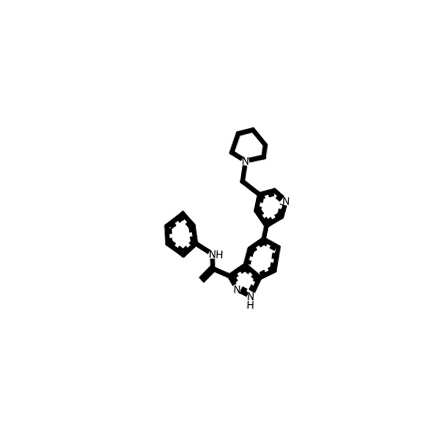 C=C(Nc1ccccc1)c1n[nH]c2ccc(-c3cncc(CN4CCCCC4)c3)cc12